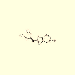 CSC(=Nc1nc2cc(Cl)ccc2o1)SC